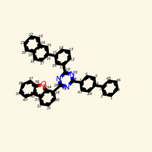 c1ccc(-c2ccc(-c3nc(-c4cccc(-c5ccc6ccccc6c5)c4)nc(-c4cccc5c4oc4ccccc45)n3)cc2)cc1